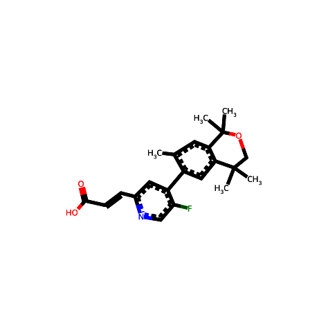 Cc1cc2c(cc1-c1cc(/C=C/C(=O)O)ncc1F)C(C)(C)COC2(C)C